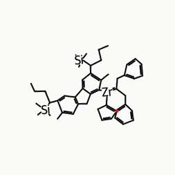 CCCC(c1cc2c(cc1C)Cc1c-2cc(C(CCC)[Si](C)(C)C)c(C)[c]1[Zr]([C]1=CC=CC1)=[C](Cc1ccccc1)Cc1ccccc1)[Si](C)(C)C